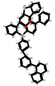 c1ccc(-c2ccc(N(c3ccc(-c4cccc(-c5cccc6ccccc56)c4)cc3)c3ccccc3-c3ccc4c(c3)sc3ccccc34)cc2)cc1